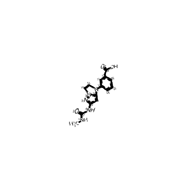 CNC(=O)Nc1cc2n(n1)CCN2c1cccc(C(=O)O)c1